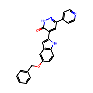 O=c1[nH]nc(-c2ccncc2)cc1-c1cc2cc(OCc3ccccc3)ccc2[nH]1